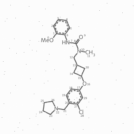 COc1ccccc1NC(=O)N(C)CC1CC(Oc2ccc(CN3CCCC3)c(Cl)c2)C1